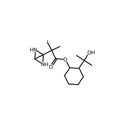 CC(C)(O)C1CCCCC1OC(=O)C(C)(I)C12NC1N2